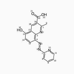 Cc1nc2c(N=Nc3ccccn3)ccc(O)c2cc1C(=O)O